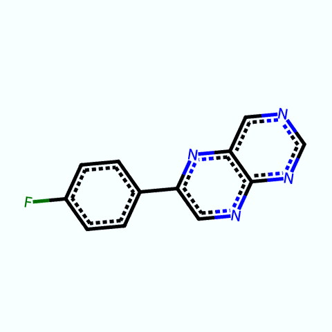 Fc1ccc(-c2cnc3ncncc3n2)cc1